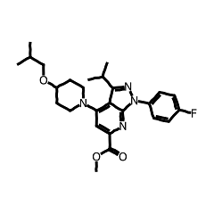 COC(=O)c1cc(N2CCC(OCC(C)C)CC2)c2c(C(C)C)nn(-c3ccc(F)cc3)c2n1